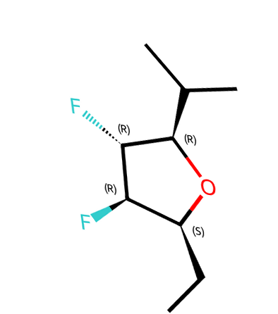 CC[C@@H]1O[C@H](C(C)C)[C@@H](F)[C@@H]1F